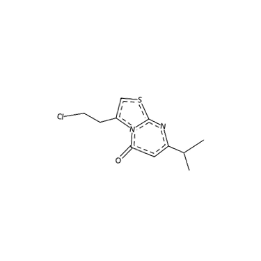 CC(C)c1cc(=O)n2c(CCCl)csc2n1